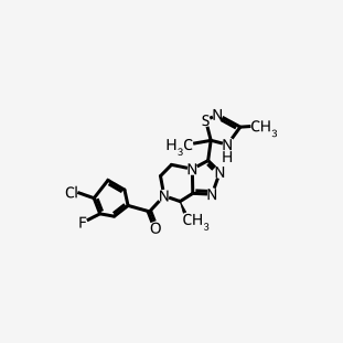 CC1=NSC(C)(c2nnc3n2CCN(C(=O)c2ccc(Cl)c(F)c2)[C@@H]3C)N1